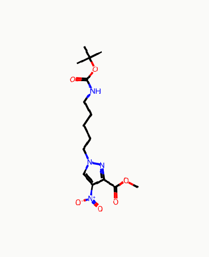 COC(=O)c1nn(CCCCCNC(=O)OC(C)(C)C)cc1[N+](=O)[O-]